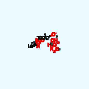 O.O.O.O.O=C([O-])[O-].[OH][La+2]